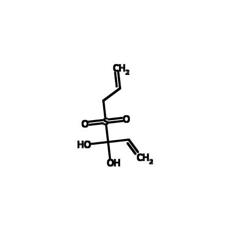 C=CCS(=O)(=O)C(O)(O)C=C